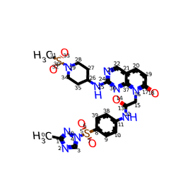 Cc1ncn(S(=O)(=O)c2ccc(NC(=O)Cn3c(=O)ccc4cnc(NC5CCN(S(C)(=O)=O)CC5)nc43)cc2)n1